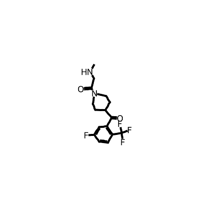 CNCC(=O)N1CCC(C(=O)c2cc(F)ccc2C(F)(F)F)CC1